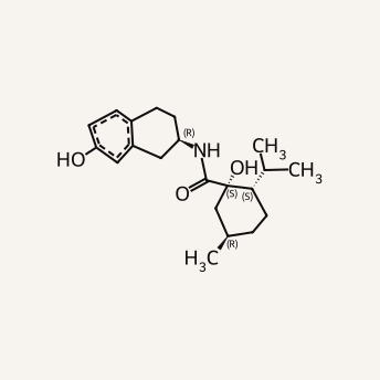 CC(C)[C@@H]1CC[C@@H](C)C[C@@]1(O)C(=O)N[C@@H]1CCc2ccc(O)cc2C1